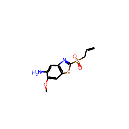 C=CCS(=O)(=O)c1nc2cc(N)c(OC)cc2s1